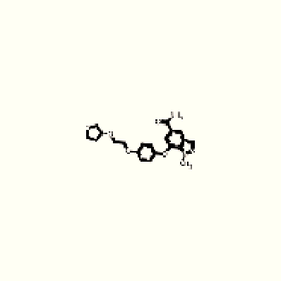 Cn1ncc2cc(C(N)=O)cc(Oc3ccc(OCCO[C@@H]4CCOC4)cc3)c21